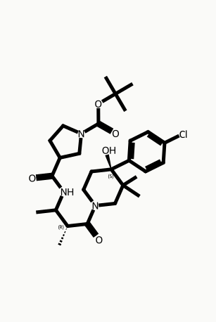 CC(NC(=O)C1CCN(C(=O)OC(C)(C)C)C1)[C@@H](C)C(=O)N1CC[C@](O)(c2ccc(Cl)cc2)C(C)(C)C1